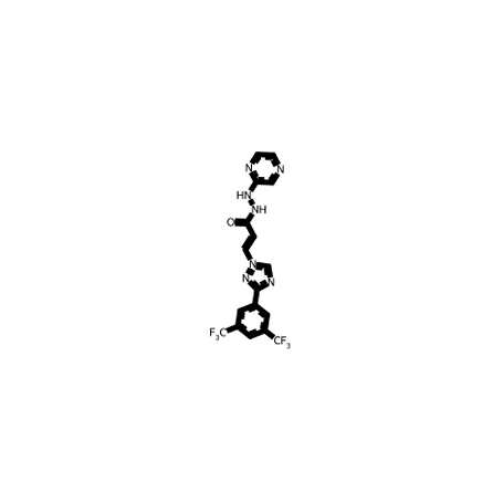 O=C(C=Cn1cnc(-c2cc(C(F)(F)F)cc(C(F)(F)F)c2)n1)NNc1cnccn1